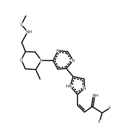 CSNCC1CN(c2cc(-c3cnc(/C=C\C(=N)C(F)F)[nH]3)ncn2)C(C)CO1